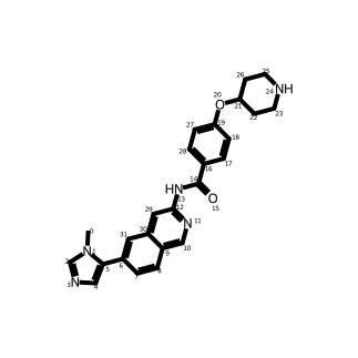 Cn1cncc1-c1ccc2cnc(NC(=O)c3ccc(OC4CCNCC4)cc3)cc2c1